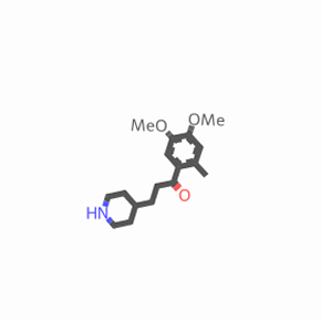 COc1cc(C)c(C(=O)CCC2CCNCC2)cc1OC